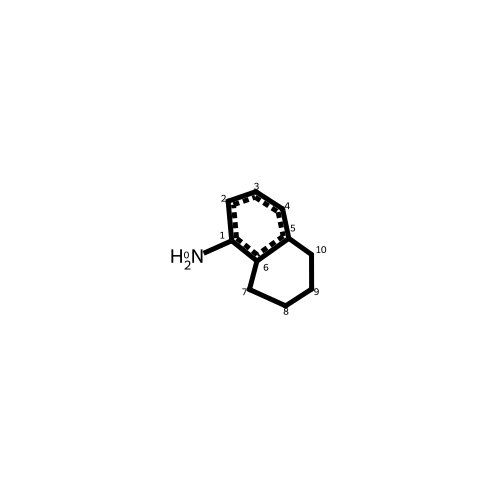 Nc1[c]ccc2c1CCCC2